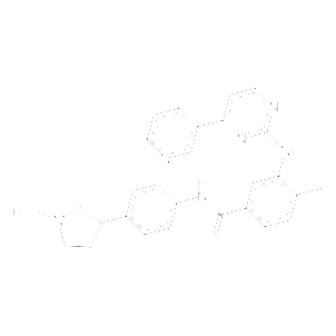 CCCN1CCC(c2ccc(NC(=O)c3ccc(C)c(Nc4nccc(-c5cccnc5)n4)c3)cc2)C1